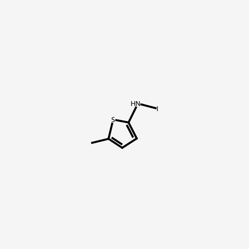 Cc1ccc(NI)s1